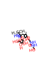 CC(C)c1[nH]nc(O[C@@H]2O[C@H](CO)[C@@H](O)[C@H](O)[C@H]2O)c1Cc1ccc(OCCCNC(=O)NCCO)cc1